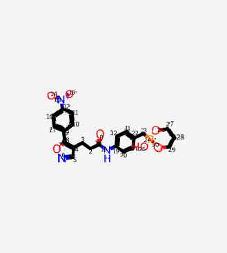 O=C(CCc1cnoc1-c1ccc([N+](=O)[O-])cc1)Nc1ccc(C[P]2(O)OCCCO2)cc1